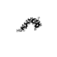 Cc1nc2cnc(-c3cnc(C(C)(C)O)nc3)cn2c1CN1C(=O)[C@H](C)Oc2c(F)cc(F)cc21